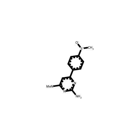 CNc1cc(-c2ccc([S+](C)[O-])cc2)nc(N)n1